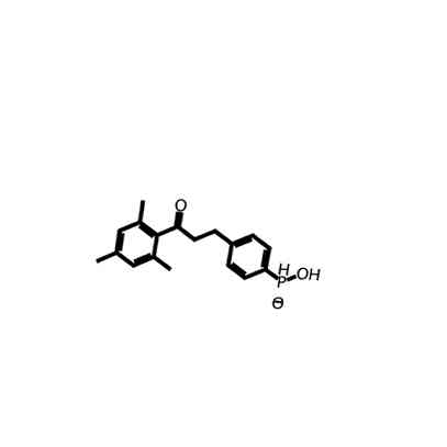 Cc1cc(C)c(C(=O)CCc2ccc([PH](=O)O)cc2)c(C)c1